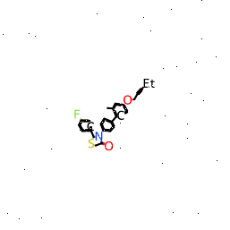 CCC#CCOc1ccc(-c2ccc(N3C(=O)CSC3c3ccc(F)cc3)cc2)c(C)c1